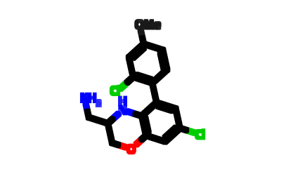 COc1ccc(-c2cc(Cl)cc3c2NC(CN)CO3)c(Cl)c1